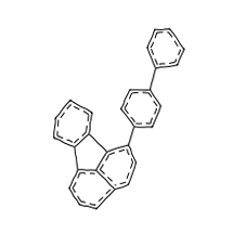 c1ccc(-c2ccc(-c3ccc4cccc5c4c3-c3ccccc3-5)cc2)cc1